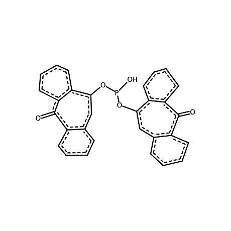 O=c1c2ccccc2cc(OP(O)Oc2cc3ccccc3c(=O)c3ccccc23)c2ccccc12